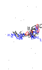 Cc1cc2c(cc1C(=N)NC1CC(N)C1)CCC(C(C)(ON=C(C(=O)NC1C(=O)N(OS(=O)(=O)O)C1(C)C)c1csc(N)n1)C(=O)O)O2